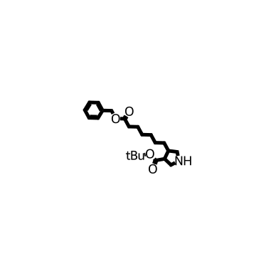 CC(C)(C)OC(=O)C1CNCC1CCCCCCC(=O)OCc1ccccc1